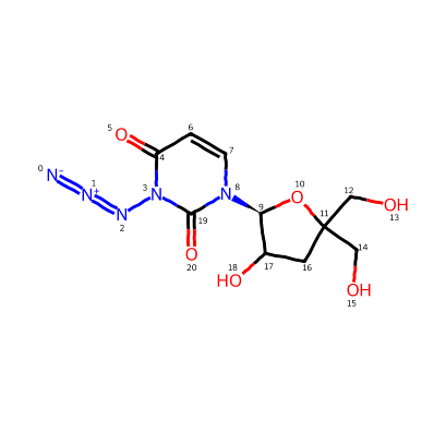 [N-]=[N+]=Nn1c(=O)ccn([C@H]2OC(CO)(CO)CC2O)c1=O